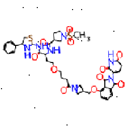 CS(=O)(=O)N1CCC(C(=O)N[C@@H](CCOCCCC(=O)N2CC(COc3cccc4c3C(=O)N(C3CCC(=O)NC3=O)C4=O)C2)C(=O)NC2NC(c3ccccc3)CS2)C1